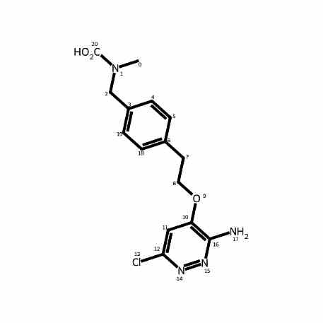 CN(Cc1ccc(CCOc2cc(Cl)nnc2N)cc1)C(=O)O